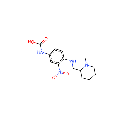 CN1CCCCC1CNc1ccc(NC(=O)O)cc1[N+](=O)[O-]